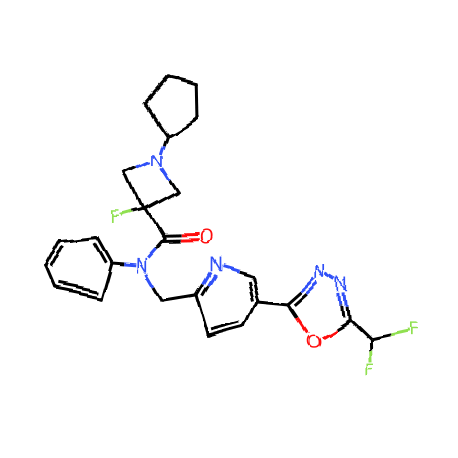 O=C(N(Cc1ccc(-c2nnc(C(F)F)o2)cn1)c1ccccc1)C1(F)CN(C2CCCC2)C1